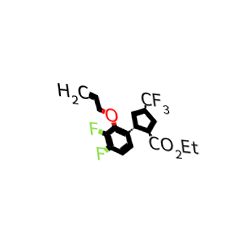 C=CCOc1c([C@@H]2C[C@H](C(F)(F)F)C[C@H]2C(=O)OCC)ccc(F)c1F